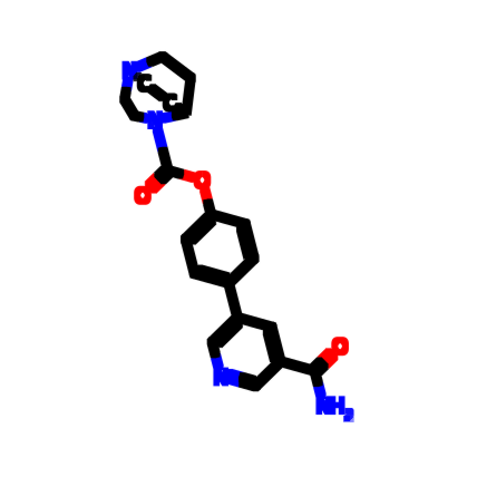 NC(=O)c1cncc(-c2ccc(OC(=O)N3CCN4CCC3CC4)cc2)c1